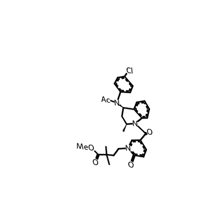 COC(=O)C(C)(C)CCn1cc(C(=O)N2c3ccccc3[C@H](N(C(C)=O)c3ccc(Cl)cc3)C[C@@H]2C)ccc1=O